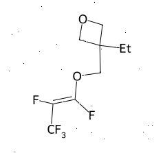 CCC1(CO/C(F)=C(\F)C(F)(F)F)COC1